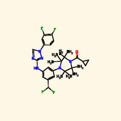 BC1(B)N(C(=O)C2CC2)C(B)(B)C(B)(B)N(c2cc(Nc3ncn(-c4ccc(F)c(F)c4)n3)cc(C(F)F)c2)C1(B)B